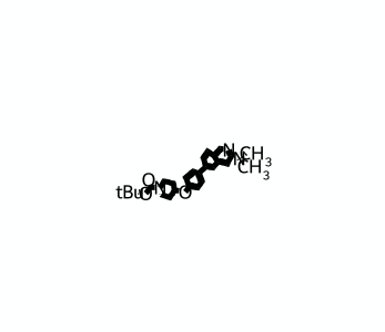 CN(C)c1cc2cc(-c3ccc(OC4CCN(C(=O)OC(C)(C)C)CC4)cc3)ccc2cn1